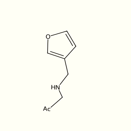 CC(=O)CNCc1ccoc1